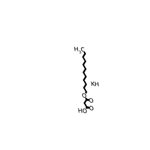 CCCCCCCCCCCCOC(=O)CC(=O)O.[KH]